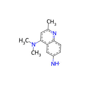 Cc1cc(N(C)C)c2cc([NH])ccc2n1